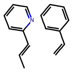 C=Cc1ccccc1.CC=Cc1ccccn1